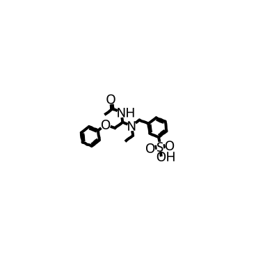 CCN(Cc1cccc(S(=O)(=O)O)c1)C(COc1ccccc1)NC(C)=O